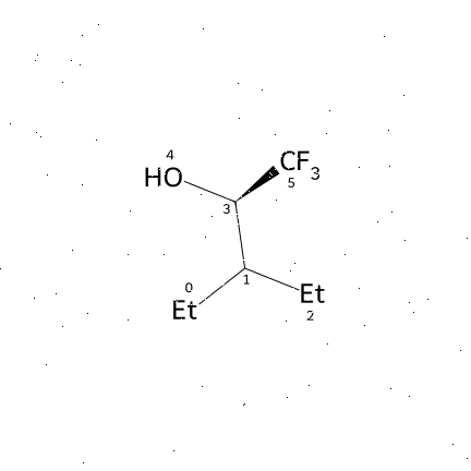 CCC(CC)[C@@H](O)C(F)(F)F